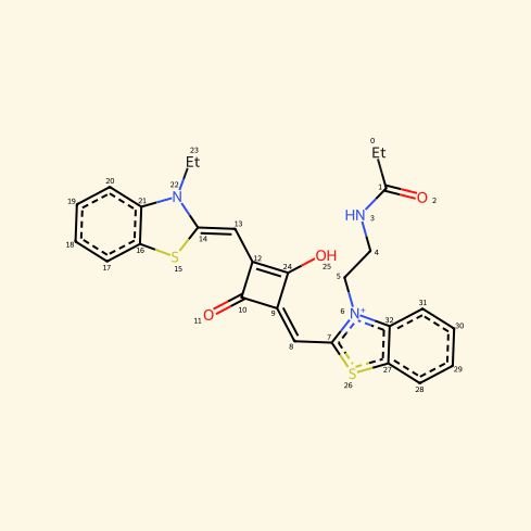 CCC(=O)NCC[n+]1c(/C=C2/C(=O)C(/C=C3\Sc4ccccc4N3CC)=C2O)sc2ccccc21